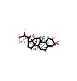 CC(=O)O[C@@]1(C(=O)C(I)I)CC[C@H]2[C@@H]3CCC4=CC(=O)CC[C@]4(C)[C@H]3CC[C@@]21C